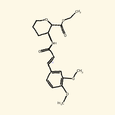 CCOC(=O)C1OCCCC1NC(=O)/C=C/c1ccc(OC)c(OC)c1